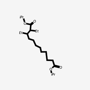 CCC(CCCCCCCCC(=O)OC(C)C)C(CC)C(=O)OC(C)C